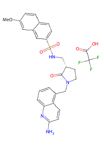 COc1ccc2ccc(S(=O)(=O)NC[C@@H]3CCN(Cc4cccc5nc(N)ccc45)C3=O)cc2c1.O=C(O)C(F)(F)F